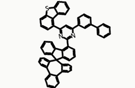 c1ccc(-c2cccc(-c3cc(-c4cccc5sc6ccccc6c45)nc(-c4cccc5c4-c4ccccc4C54c5ccccc5-c5ccccc5-c5ccccc54)n3)c2)cc1